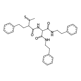 CC(=S)C(CCc1ccccc1)C(=O)NC(C(=O)NCCc1ccccc1)C(=O)NCCc1ccccc1